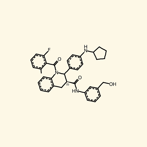 Cc1cccc(F)c1C(=O)N1c2ccccc2C[C@H](C(=O)Nc2cccc(CO)c2)C1c1ccc(NC2CCCC2)cc1